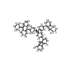 Cc1cccc2c1sc1c(-c3ccc4c(c3)c3cc(-c5cccc6c5sc5c(C)cccc56)ccc3n4-c3ccc(-c4c5ccccc5c(-c5ccccc5)c5ccccc45)cc3)cccc12